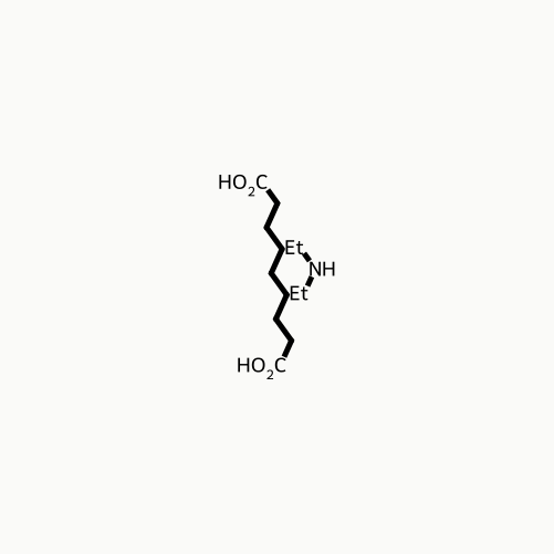 CCNCC.O=C(O)CCCCCCCC(=O)O